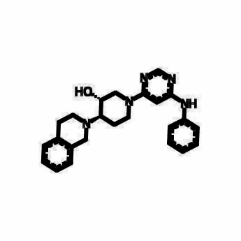 O[C@@H]1CN(c2cc(Nc3ccccc3)ncn2)CC[C@H]1N1CCc2ccccc2C1